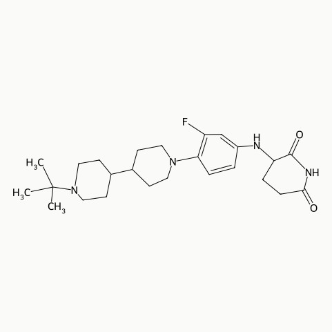 CC(C)(C)N1CCC(C2CCN(c3ccc(NC4CCC(=O)NC4=O)cc3F)CC2)CC1